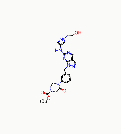 CC(C)(C)OC(=O)N1CCN(c2cccc(Cn3ncc4cnc(Nc5cnn(CCO)c5)nc43)c2)C(=O)C1